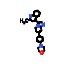 Cc1cc(-c2cnc3cc(-c4ccc(N5CCOCC5)cc4)ccn23)c2ccccc2n1